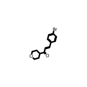 O=C(C=Cc1ccc(Br)cc1)C1CCOCC1